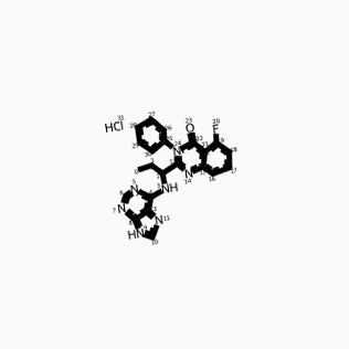 CCC(Nc1ncnc2[nH]cnc12)c1nc2cccc(F)c2c(=O)n1-c1ccccc1.Cl